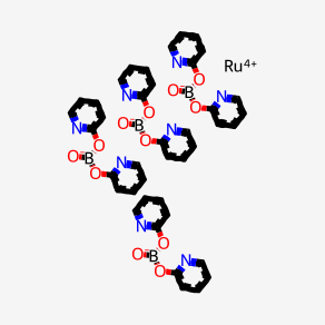 [O-]B(Oc1ccccn1)Oc1ccccn1.[O-]B(Oc1ccccn1)Oc1ccccn1.[O-]B(Oc1ccccn1)Oc1ccccn1.[O-]B(Oc1ccccn1)Oc1ccccn1.[Ru+4]